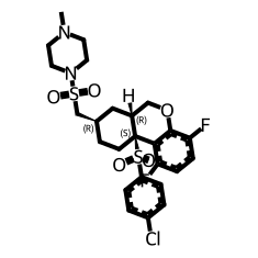 CN1CCN(S(=O)(=O)C[C@@H]2CC[C@@]3(S(=O)(=O)c4ccc(Cl)cc4)c4c(F)ccc(F)c4OC[C@H]3C2)CC1